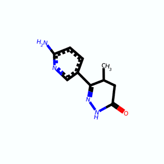 CC1CC(=O)NN=C1c1ccc(N)nc1